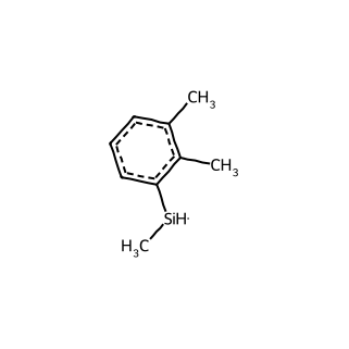 C[SiH]c1cccc(C)c1C